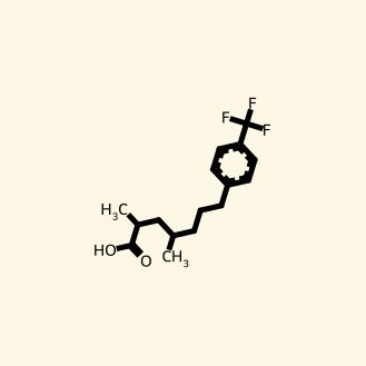 CC(CCCc1ccc(C(F)(F)F)cc1)CC(C)C(=O)O